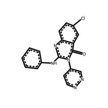 O=c1c2cc(Cl)ccc2nc(Nc2ccccc2)n1-c1ccnnc1